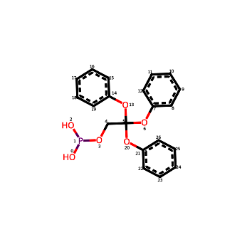 OP(O)OCC(Oc1ccccc1)(Oc1ccccc1)Oc1ccccc1